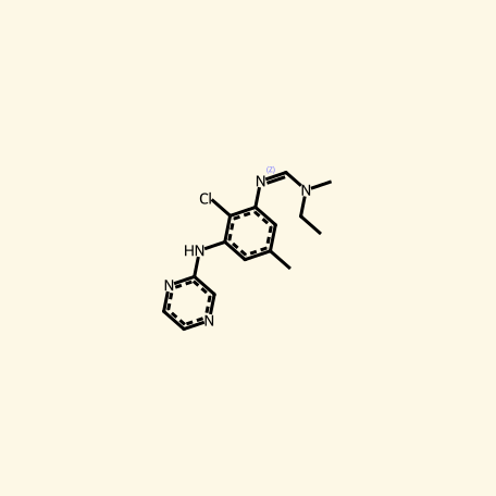 CCN(C)/C=N\c1cc(C)cc(Nc2cnccn2)c1Cl